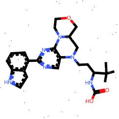 CC(C)(C)C(CCN1CC2COCCN2c2nc(-c3cccc4[nH]ccc34)ncc21)NC(=O)O